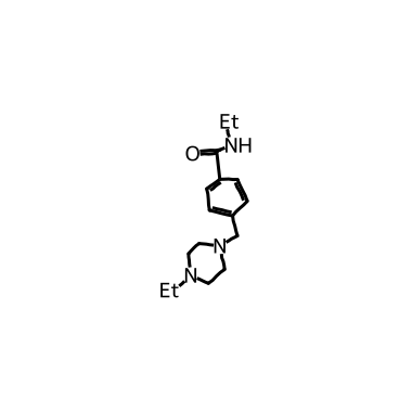 CCNC(=O)c1ccc(CN2CCN(CC)CC2)cc1